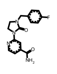 NC(=O)c1ccnc(N2CCN(Cc3ccc(F)cc3)C2=O)c1